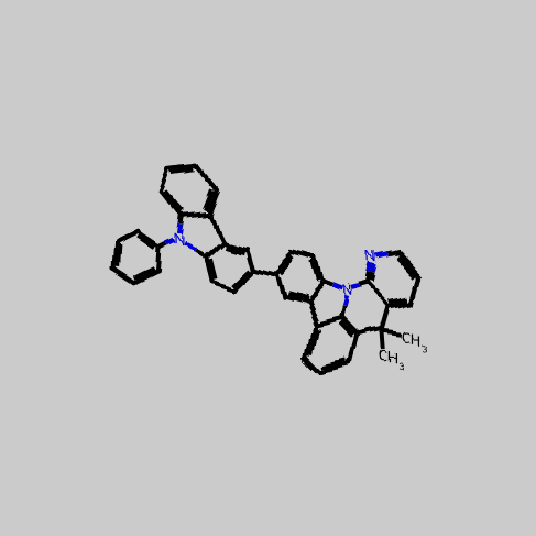 CC1(C)c2cccnc2-n2c3ccc(-c4ccc5c(c4)c4ccccc4n5-c4ccccc4)cc3c3cccc1c32